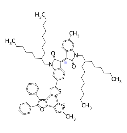 CCCCCCCCC(CCCCCC)CN1C(=O)/C(=C2/C(=O)N(CC(CCCCCC)CCCCCCCC)c3cc(-c4cc5c(s4)c4sc(C)cc4c4oc(-c6ccccc6)c(-c6ccccc6)c54)ccc32)c2ccc(C)cc21